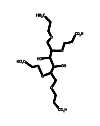 O=C(O)CCOCC(OCCC(=O)O)C(O)C(O)C(COCCC(=O)O)OCCC(=O)O